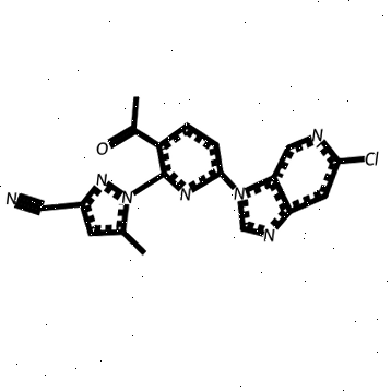 CC(=O)c1ccc(-n2cnc3cc(Cl)ncc32)nc1-n1nc(C#N)cc1C